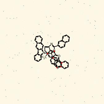 CC1C/C=C(c2cc3oc4ccccc4c3cc2-n2c3ccccc3c3cc4ccccc4cc32)/N=C(c2ccc3ccccc3c2)\N=C/1c1ccc2sc3ccccc3c2c1